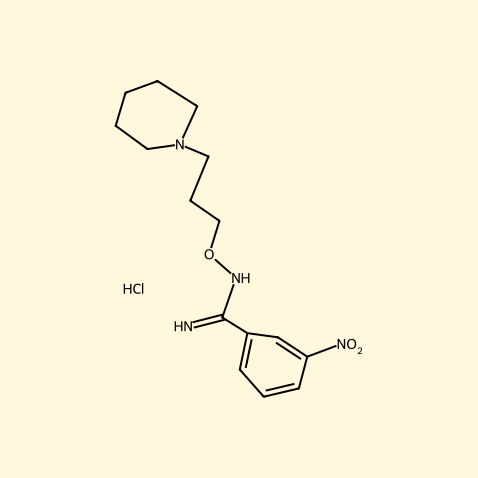 Cl.N=C(NOCCCN1CCCCC1)c1cccc([N+](=O)[O-])c1